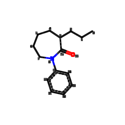 CCCC1CCCCN(c2ccccc2)C1=O